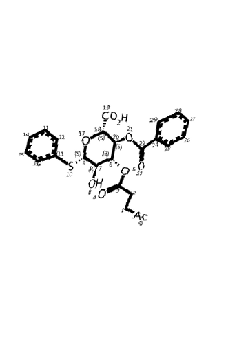 CC(=O)CCC(=O)O[C@@H]1[C@@H](O)[C@H](Sc2ccccc2)O[C@H](C(=O)O)[C@H]1OC(=O)c1ccccc1